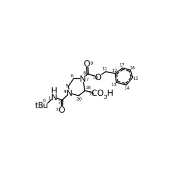 CC(C)(C)NC(=O)N1CCN(C(=O)OCc2ccccc2)C(C(=O)O)C1